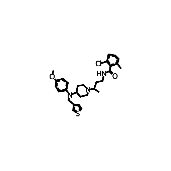 COc1ccc(N(Cc2ccsc2)C2CCN(C(C)CCNC(=O)c3c(C)cccc3Cl)CC2)cc1